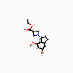 CCOC(=O)C1CN([C@@H]2CCc3cc(Br)cc(OC)c32)C1